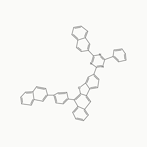 c1ccc(-c2nc(-c3ccc4ccccc4c3)nc(-c3ccc4c(c3)oc3c(-c5ccc(-c6ccc7ccccc7c6)cc5)c5ccccc5cc34)n2)cc1